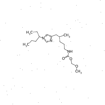 CCCC(CC)n1cnc(CC(C)CCCNC(=O)OCOC)c1